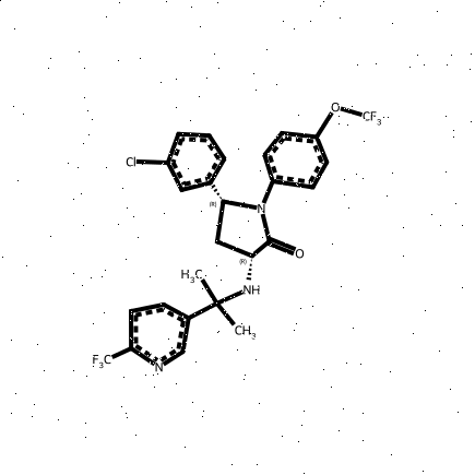 CC(C)(N[C@@H]1C[C@H](c2cccc(Cl)c2)N(c2ccc(OC(F)(F)F)cc2)C1=O)c1ccc(C(F)(F)F)nc1